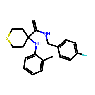 C=C(NCc1ccc(F)cc1)C1(Nc2ccccc2C)CCSCC1